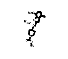 COc1ccc(Br)c2cc(COC3CCN(C(=O)OC(C)(C)C)CC3)oc12.[H-].[Na+]